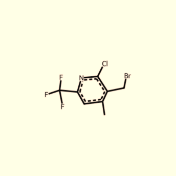 Cc1cc(C(F)(F)F)nc(Cl)c1CBr